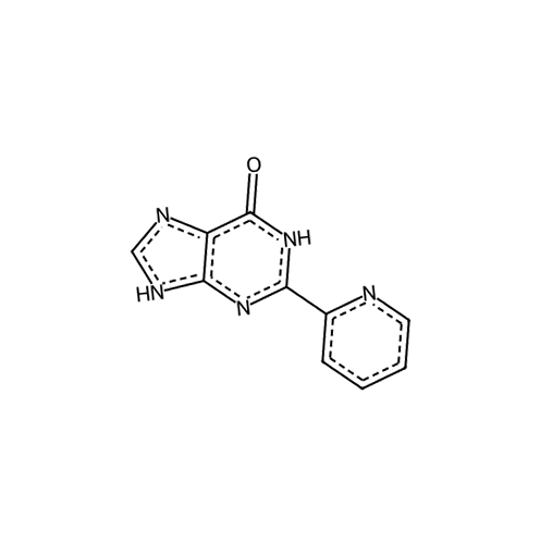 O=c1[nH]c(-c2ccccn2)nc2[nH]cnc12